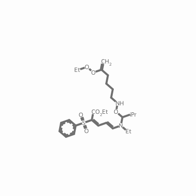 C=C(CCCCNOC(C(C)C)N(C=CC=C(C(=O)OCC)S(=O)(=O)c1ccccc1)CC)OOCC